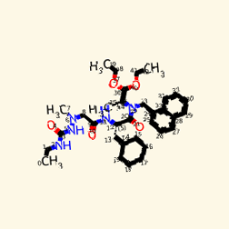 CCNC(=O)NN(C)CC(=O)N[C@@H](CC1CCCCC1)C(=O)N(Cc1cccc2ccccc12)[C@@H](C)C(OCC)OCC